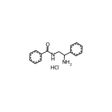 Cl.NC(CNC(=O)c1ccccc1)c1ccccc1